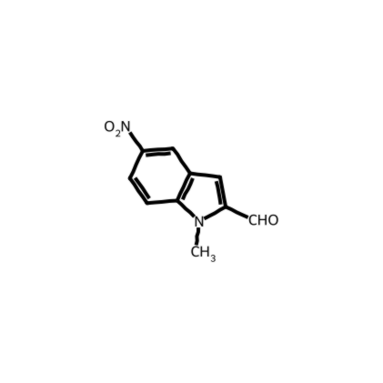 Cn1c(C=O)cc2cc([N+](=O)[O-])ccc21